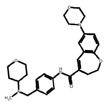 CN(Cc1ccc(NC(=O)C2=Cc3cc(N4CCOCC4)ccc3OCC2)cc1)C1CCOCC1